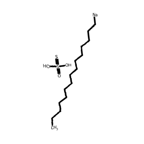 CCCCCCCCCCCCCC[CH2][Na].O=S(O)(O)=S